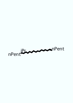 [CH2]CCCC/C=C/CCCCCCCCCCCCCC(CCCC[CH2])C(C)C